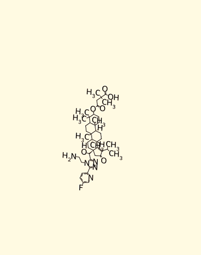 CC(C)C1=C2[C@H]3CC[C@@H]4[C@@]5(C)CC[C@H](OC(=O)CC(C)(C)C(=O)O)C(C)(C)C5CC[C@@]4(C)[C@]3(C)CC[C@@]2(C(O)c2nnc(-c3ccc(F)cn3)n2CCN)CC1=O